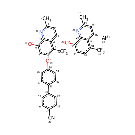 Cc1ccc2c(C(F)(F)F)ccc([O-])c2n1.Cc1ccc2c(C(F)(F)F)ccc([O-])c2n1.N#Cc1ccc(-c2ccc([O-])cc2)cc1.[Al+3]